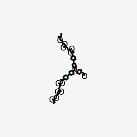 C=CC(=C)OCCOC(=O)CCC(=O)OC(C)c1ccc(-c2ccc(N(c3ccc(C=O)cc3)c3ccc(-c4ccc(C(C)OC(=O)CCC(=O)OCCOC(=O)C=C)cc4)cc3)cc2)cc1